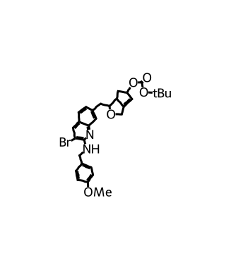 COc1ccc(CNc2nc3cc(CC4OCC5=CC(OC(=O)OC(C)(C)C)CC54)ccc3cc2Br)cc1